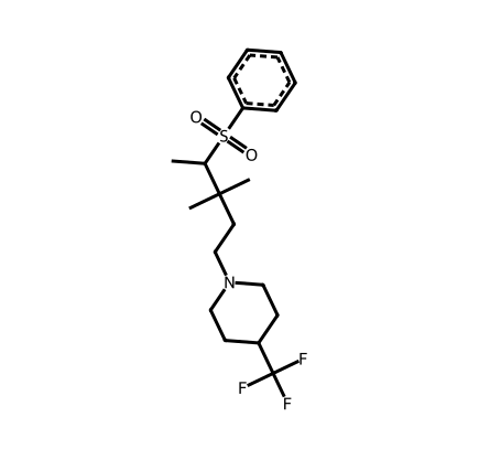 CC(C(C)(C)CCN1CCC(C(F)(F)F)CC1)S(=O)(=O)c1ccccc1